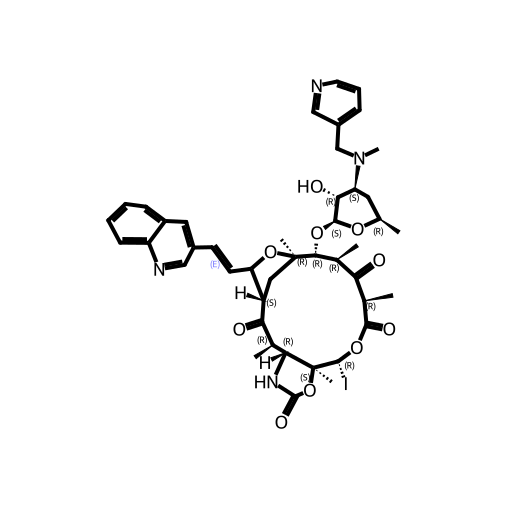 C[C@H]1C(=O)O[C@H](I)[C@@]2(C)OC(=O)N[C@@H]2[C@@H](C)C(=O)[C@H]2C[C@@](C)(OC2/C=C/c2cnc3ccccc3c2)[C@H](O[C@@H]2O[C@H](C)C[C@H](N(C)Cc3cccnc3)[C@H]2O)[C@@H](C)C1=O